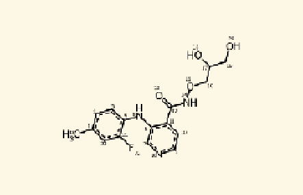 Cc1ccc(Nc2cnccc2C(=O)NOCC(O)CO)c(F)c1